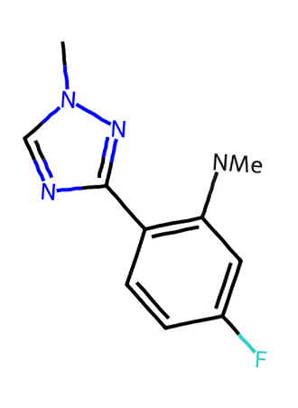 CNc1cc(F)ccc1-c1ncn(C)n1